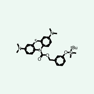 CN(C)c1ccc2c(c1)Sc1cc(N(C)C)ccc1N2C(=O)OCc1cccc(O[Si](C)(C)C(C)(C)C)c1